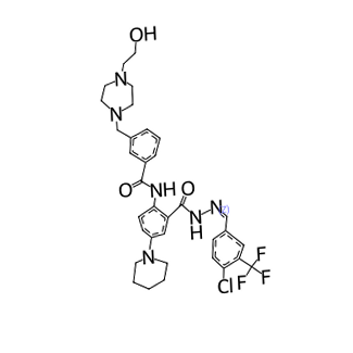 O=C(Nc1ccc(N2CCCCC2)cc1C(=O)N/N=C\c1ccc(Cl)c(C(F)(F)F)c1)c1cccc(CN2CCN(CCO)CC2)c1